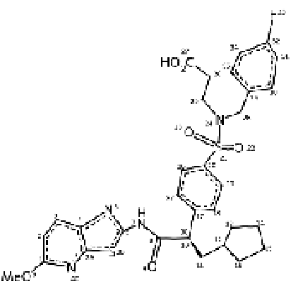 COc1ccc2nc(NC(=O)[C@H](CC3CCCC3)c3ccc(S(=O)(=O)N(CCC(=O)O)Cc4ccc(F)cc4)cc3)sc2n1